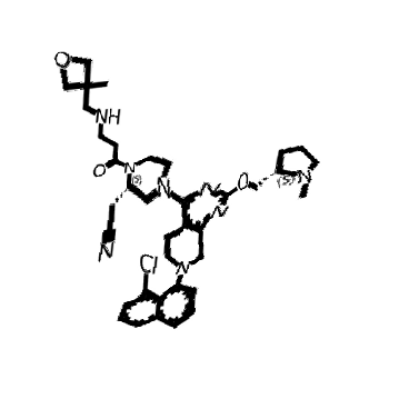 CN1CCC[C@H]1COc1nc2c(c(N3CCN(C(=O)CCNCC4(C)COC4)[C@@H](CC#N)C3)n1)CCN(c1cccc3cccc(Cl)c13)C2